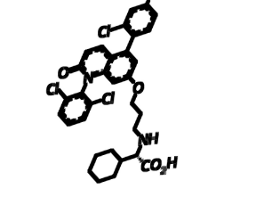 O=C(O)[C@@H](NCCCOc1cc(-c2ccc(F)cc2Cl)c2ccc(=O)n(-c3c(Cl)cccc3Cl)c2c1)C1CCCCC1